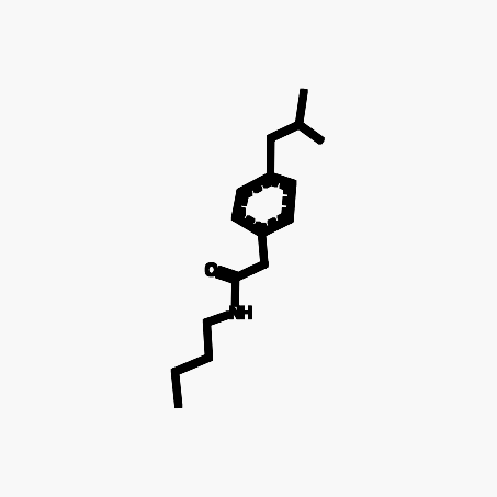 CCCCNC(=O)Cc1ccc(CC(C)C)cc1